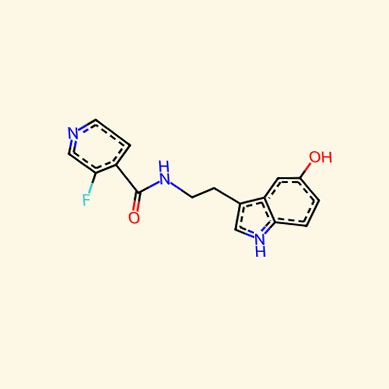 O=C(NCCc1c[nH]c2ccc(O)cc12)c1ccncc1F